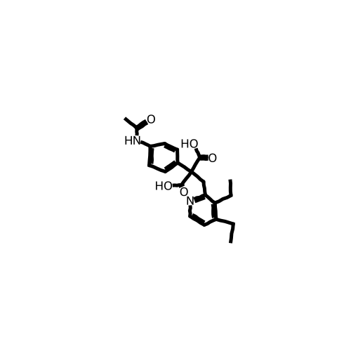 CCc1ccnc(CC(C(=O)O)(C(=O)O)c2ccc(NC(C)=O)cc2)c1CC